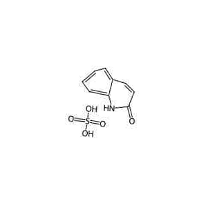 O=S(=O)(O)O.O=c1ccc2ccccc2[nH]1